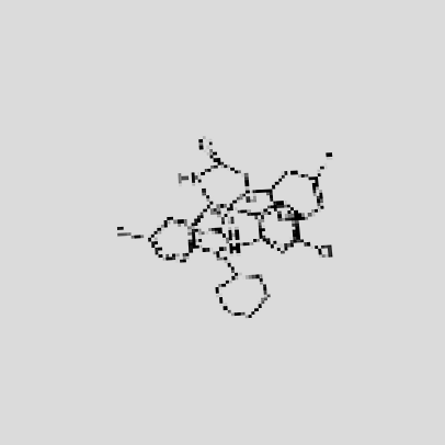 O=C1C[C@@H](C2C=CC=C(F)C2)[C@]2(C(=O)Nc3cc(Cl)ccc32)[C@@H](c2cc(F)ccc2OC2CCCCC2)N1